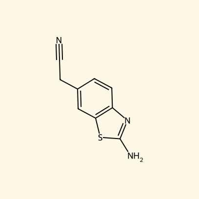 N#CCc1ccc2nc(N)sc2c1